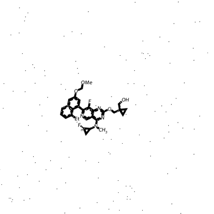 CCc1cccc2cc(OCOC)cc(-c3ncc4c(N(C)C5C[C@H]5F)nc(OCC5(CO)CC5)nc4c3F)c12